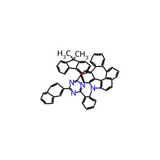 CC1(C)c2ccccc2-c2c(-c3nc(-c4ccc5ccccc5c4)nc(-c4ccccc4-n4c5cccc6c5c5c7c(cccc7ccc54)-c4ccccc4-6)n3)cccc21